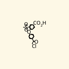 CS(=O)(=O)c1cc(C(=O)O)ccc1Oc1ccc(C(=O)CCl)cc1